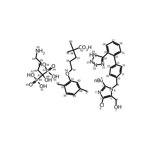 CCCCc1nc(Cl)c(CO)n1Cc1ccc(-c2ccccc2-c2nnn[nH]2)cc1.Cc1ccc(C)c(OCCCC(C)(C)C(=O)O)c1.NCCCC(O)(P(=O)(O)O)P(=O)(O)O